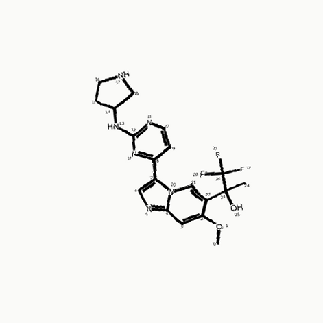 COc1cc2ncc(-c3ccnc(NC4CCNC4)n3)n2cc1C(C)(O)C(F)(F)F